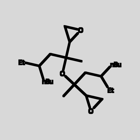 CCCCC(CC)CC(C)(OC(C)(CC(CC)CCCC)C1CO1)C1CO1